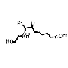 CCCCCCCCCCCCCC(=O)C(CC)NCCO